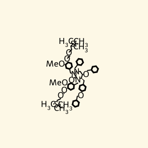 COc1cc(CN2C(=O)N(Cc3ccc(OCOCC[Si](C)(C)C)c(OC)c3)N(Cc3ccccc3)C[C@@H](OCc3ccccc3)[C@H]2Cc2ccc(OCc3ccccc3)cc2)ccc1OCOCC[Si](C)(C)C